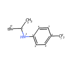 CC(Nc1ccc(C(F)(F)F)cc1)C(C)(C)C